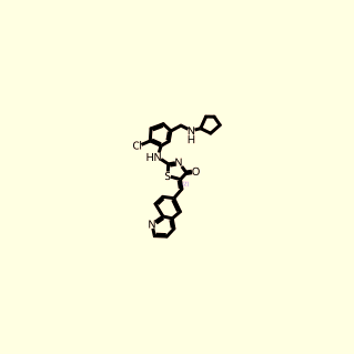 O=C1N=C(Nc2cc(CNC3CCCC3)ccc2Cl)S/C1=C\c1ccc2ncccc2c1